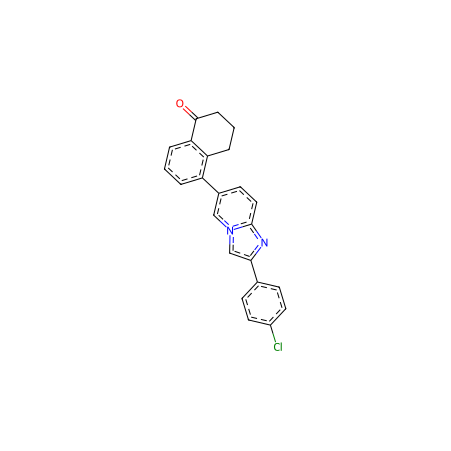 O=C1CCCc2c1cccc2-c1ccc2nc(-c3ccc(Cl)cc3)cn2c1